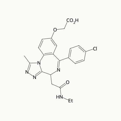 CCNC(=O)CC1N=C(c2ccc(Cl)cc2)c2cc(OCC(=O)O)ccc2-n2c(C)nnc21